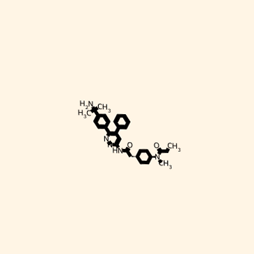 CCC(=O)N(C)[C@H]1CC[C@H](CC(=O)Nc2cc(-c3ccccc3)c(-c3ccc(C(C)(C)N)cc3)nn2)CC1